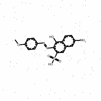 COc1ccc(N=Nc2c(S(=O)(=O)O)cc3cc(N)ccc3c2O)cc1